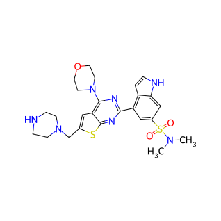 CN(C)S(=O)(=O)c1cc(-c2nc(N3CCOCC3)c3cc(CN4CCNCC4)sc3n2)c2cc[nH]c2c1